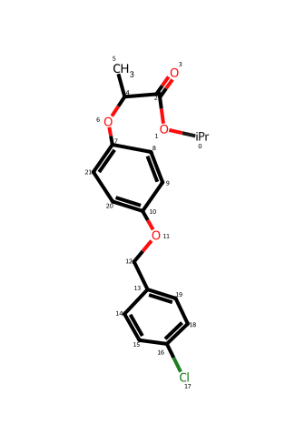 CC(C)OC(=O)C(C)Oc1ccc(OCc2ccc(Cl)cc2)cc1